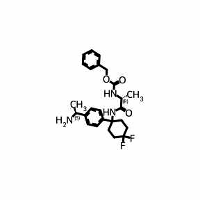 C[C@H](N)c1ccc(C2(NC(=O)[C@@H](C)NC(=O)OCc3ccccc3)CCC(F)(F)CC2)cc1